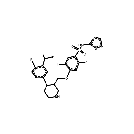 O=S(=O)(Nc1ncns1)c1cc(F)c(OCC2CNCCC2c2ccc(F)c(C(F)F)c2)cc1F